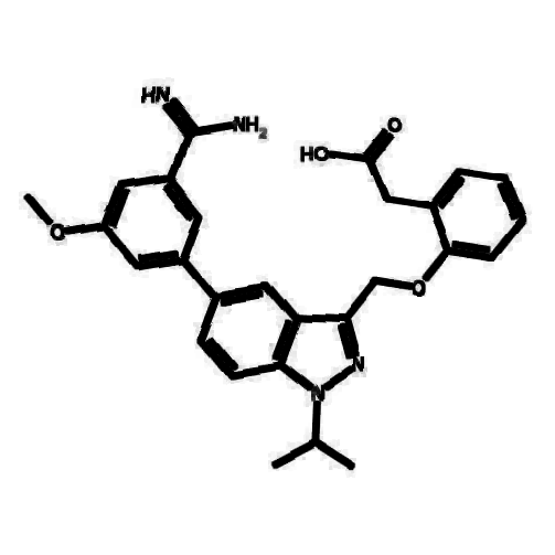 COc1cc(C(=N)N)cc(-c2ccc3c(c2)c(COc2ccccc2CC(=O)O)nn3C(C)C)c1